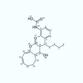 CCCCC(c1cccc(NC(=O)O)c1)C1C(=O)OC2=CC=CCCCC2C1O